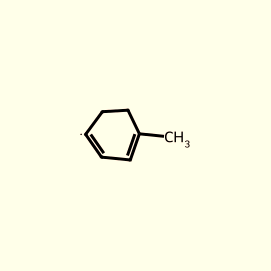 CC1=CC=[C]CC1